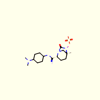 CN(C)C1CCC(NC(=N)[C@@H]2CC[C@@H]3CN2C(=O)N3OS(=O)(=O)O)CC1